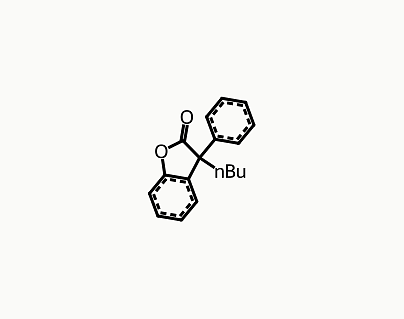 CCCCC1(c2ccccc2)C(=O)Oc2ccccc21